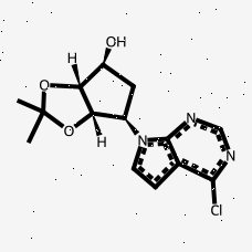 CC1(C)O[C@@H]2[C@H](O1)[C@@H](O)C[C@H]2n1ccc2c(Cl)ncnc21